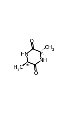 C[C@@H]1NC(=O)[C@@H](C)NC1=O